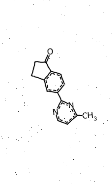 Cc1ccnc(-c2ccc3c(c2)CCC3=O)n1